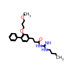 CCCCNC(=N)NC(=O)CCc1ccc(-c2ccccc2)c(OCCCOC)c1